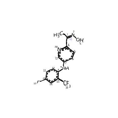 C/C(=N/O)c1ccc(Nc2ccc(F)cc2C(F)(F)F)cn1